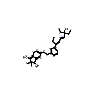 CC/C(=C\C=C\C(O)(CC)CC)c1cccc(CCC2=CCC3=C(O)C(C)(C)C(O)C3=C2)c1